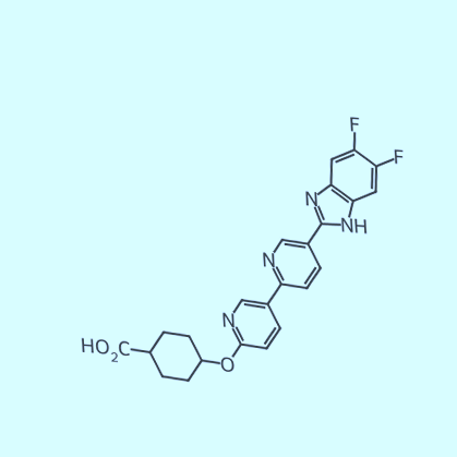 O=C(O)C1CCC(Oc2ccc(-c3ccc(-c4nc5cc(F)c(F)cc5[nH]4)cn3)cn2)CC1